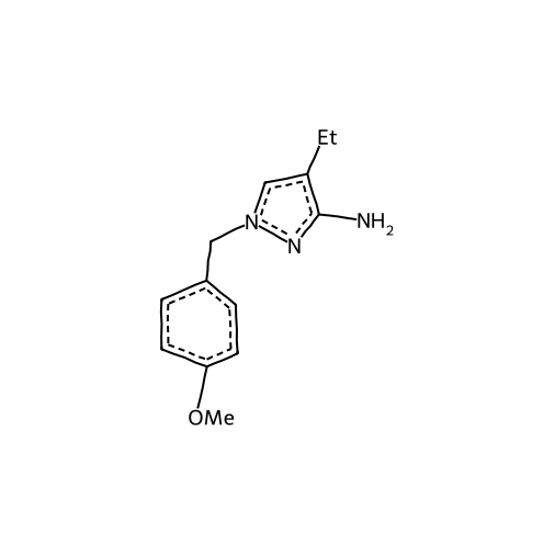 CCc1cn(Cc2ccc(OC)cc2)nc1N